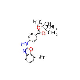 CC(C)c1cccc2nc(Nc3ccc(B4OC(C)(C)C(C)(C)O4)cc3)oc12